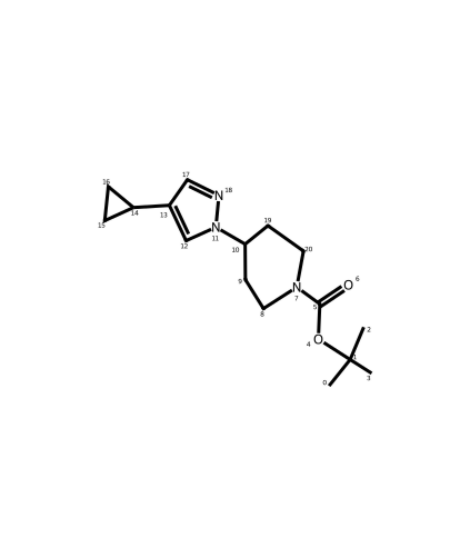 CC(C)(C)OC(=O)N1CCC(n2cc(C3CC3)cn2)CC1